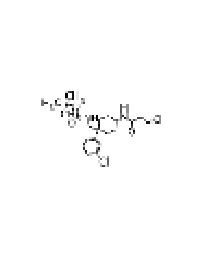 CC(C)(C)OC(=O)NC[C@]1(c2cccc(Cl)c2)CC[C@H](NC(=O)CCCl)CC1